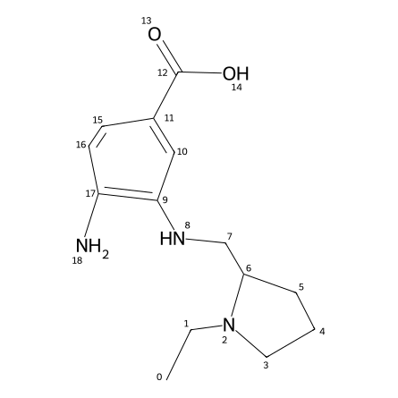 CCN1CCCC1CNc1cc(C(=O)O)ccc1N